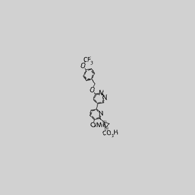 COc1ccc(-c2cnnc(OCc3ccc(OC(F)(F)F)cc3)c2)nc1[C@H]1C[C@@H]1C(=O)O